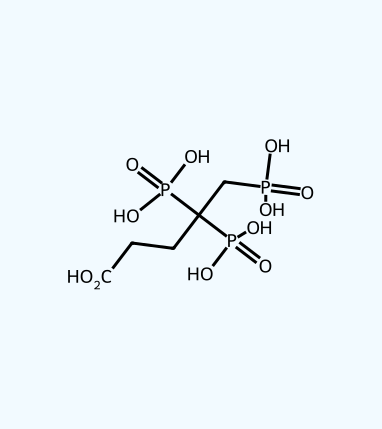 O=C(O)CCC(CP(=O)(O)O)(P(=O)(O)O)P(=O)(O)O